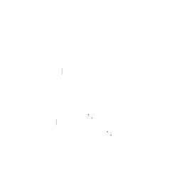 Cn1nccc1C(Cl)Cl